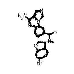 CN(C(=O)c1ccc2nc(N)c3cncn3c2c1)[C@H]1COc2cc(Br)ccc21